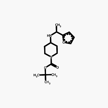 CC(NC1CCN(C(=O)OC(C)(C)C)CC1)c1ccco1